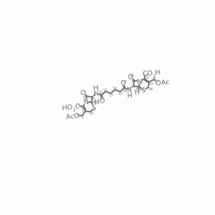 CC(=O)OCC1=C(C(=O)O)N2C(=O)[C@@H](NC(=O)CCCCC(=O)N[C@@H]3C(=O)N4C(C(=O)O)=C(COC(C)=O)CS[C@H]34)[C@H]2SC1